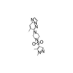 Cc1cc2nccn2nc1N1CCN(S(=O)(=O)c2cnn(C)c2C)CC1